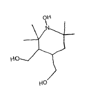 CC1(C)CC(CO)C(CO)C(C)(C)N1O